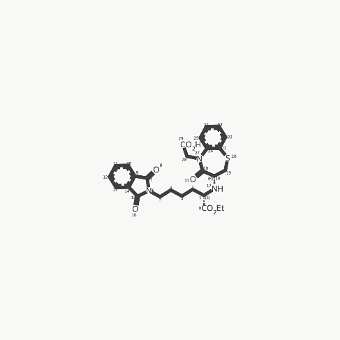 CCOC(=O)[C@H](CCCCN1C(=O)c2ccccc2C1=O)N[C@H]1CSc2ccccc2N(CC(=O)O)C1=O